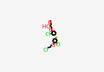 COCC(O)COc1ccc(Sc2ccc(OCCCCl)c(Cl)c2)cc1Cl